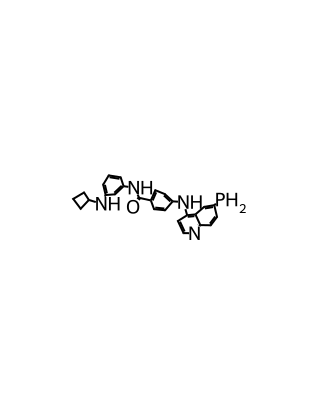 O=C(Nc1cccc(NC2CCC2)c1)c1ccc(Nc2ccnc3ccc(P)cc23)cc1